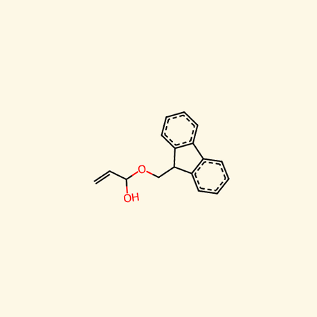 C=CC(O)OCC1c2ccccc2-c2ccccc21